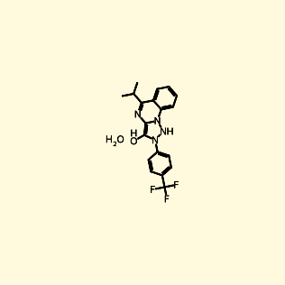 CC(C)C1=NC2=C(O)N(c3ccc(C(F)(F)F)cc3)NN2c2ccccc21.O